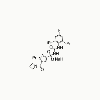 CC(C)c1cc(F)cc(C(C)C)c1NC(=O)NS(=O)(=O)c1cc(C(=O)N2CCC2)n(C(C)C)n1.[NaH]